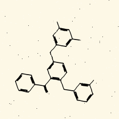 Cc1cccc(Cc2ccc(Cc3cc(C)cc(S(=O)(=O)O)c3)cc2C(=O)c2ccccc2)c1